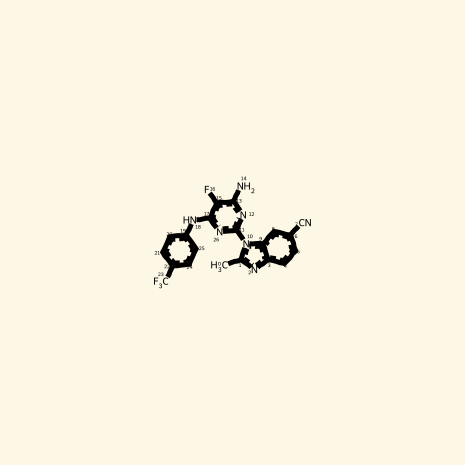 Cc1nc2ccc(C#N)cc2n1-c1nc(N)c(F)c(Nc2ccc(C(F)(F)F)cc2)n1